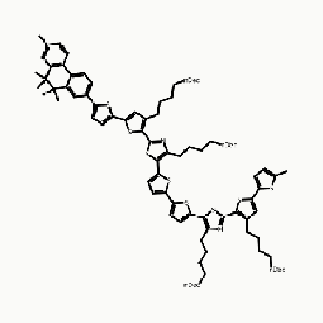 CCCCCCCCCCCCCCc1cc(-c2ccc(C)s2)sc1-c1nc(CCCCCCCCCCCCCC)c(-c2ccc(-c3ccc(-c4sc(-c5sc(-c6ccc(-c7ccc8c(c7)C(C)(C)C(C)(C)c7cc(C)ccc7-8)s6)cc5CCCCCCCCCCCCCC)nc4CCCCCCCCCCCCCC)s3)s2)s1